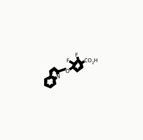 O=C(O)c1ccc(OCc2ccc3ccccc3n2)c(F)c1F